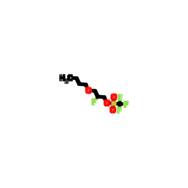 CCCCOC[C@H](F)COS(=O)(=O)C(F)(F)F